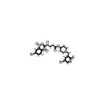 O=C(CCNc1n[n+]([O-])c2cc(Br)ccc2[n+]1[O-])OC1CCN(Cc2cc(Br)cnc2F)CC1